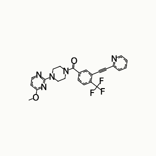 COc1ccnc(N2CCN(C(=O)c3ccc(C(F)(F)F)c(C#Cc4ccccn4)c3)CC2)n1